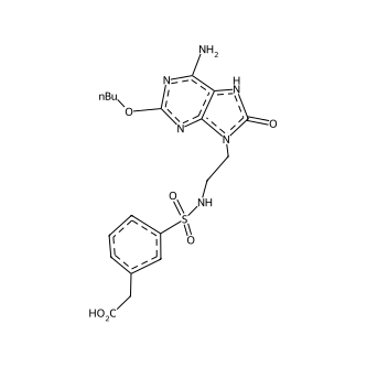 CCCCOc1nc(N)c2[nH]c(=O)n(CCNS(=O)(=O)c3cccc(CC(=O)O)c3)c2n1